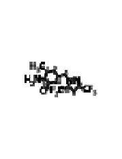 Cc1cc(Cn2nc(C(F)(F)F)cc2C(F)(F)F)cc(Cl)c1N